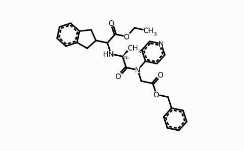 CCOC(=O)C(N[C@@H](C)C(=O)N(CC(=O)OCc1ccccc1)c1ccncc1)C1Cc2ccccc2C1